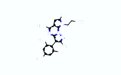 COCCn1c(C)cc2c(C)nc3c(-c4c(C)cc(C)cc4C)c(C)nn3c21